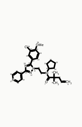 C=CCC(C)(C)C(=O)N(CCn1nc(-c2ccncc2)nc1-c1ccc(OC)c(Cl)c1)C1CCCC1